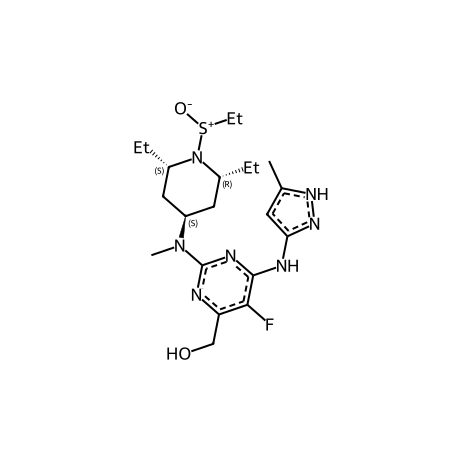 CC[C@@H]1C[C@@H](N(C)c2nc(CO)c(F)c(Nc3cc(C)[nH]n3)n2)C[C@H](CC)N1[S+]([O-])CC